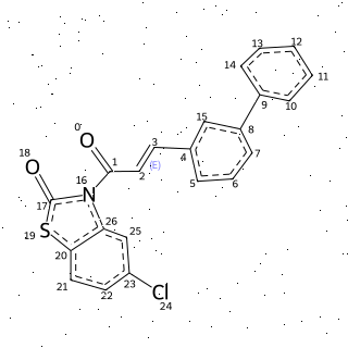 O=C(/C=C/c1cccc(-c2ccccc2)c1)n1c(=O)sc2ccc(Cl)cc21